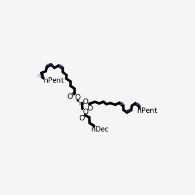 CCCCC/C=C\C/C=C\C/C=C\CCCCCCC(=O)OC[C@@H](COC(=O)CCCCCCCCCCCCC)OC(=O)CCCCCC/C=C\C/C=C\C/C=C\CCCCC